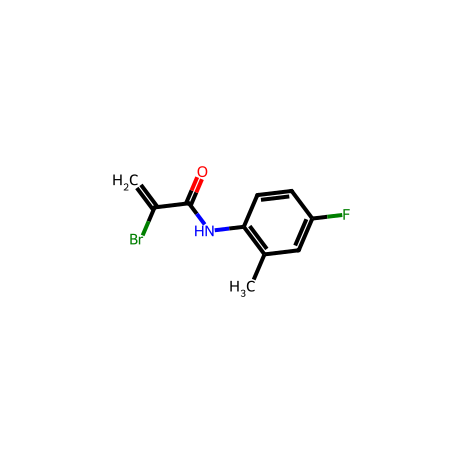 C=C(Br)C(=O)Nc1ccc(F)cc1C